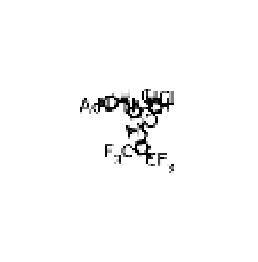 CC(=O)N1CCC(CN2CC[C@@H](C(=O)N(Cc3cc(C(F)(F)F)cc(C(F)(F)F)c3)C3CC3)[C@H](c3ccc(F)cc3C)C2)CC1.Cl